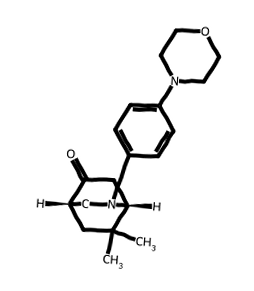 CC1(C)C[C@H]2CN(c3ccc(N4CCOCC4)cc3)[C@@H]1CC2=O